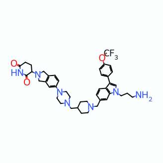 NCCCn1cc(-c2ccc(OC(F)(F)F)cc2)c2ccc(CN3CCC(CN4CCN(c5ccc6c(c5)CN(C5CCC(=O)NC5=O)C6)CC4)CC3)cc21